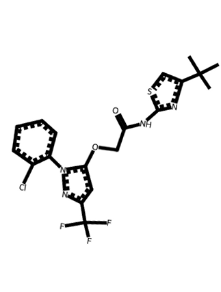 CC(C)(C)c1csc(NC(=O)COc2cc(C(F)(F)F)nn2-c2ccccc2Cl)n1